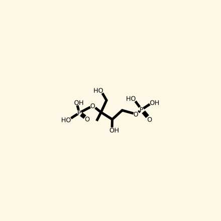 CC(CO)(OP(=O)(O)O)C(O)COP(=O)(O)O